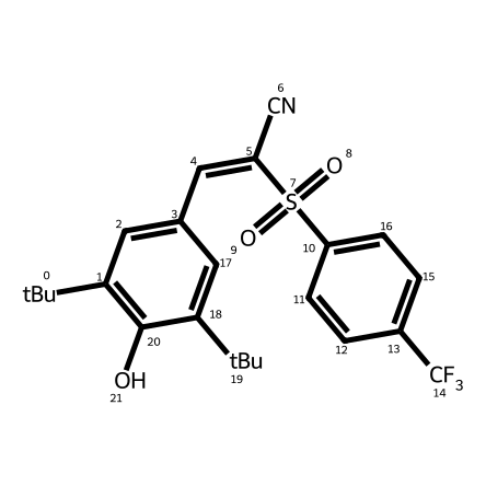 CC(C)(C)c1cc(/C=C(/C#N)S(=O)(=O)c2ccc(C(F)(F)F)cc2)cc(C(C)(C)C)c1O